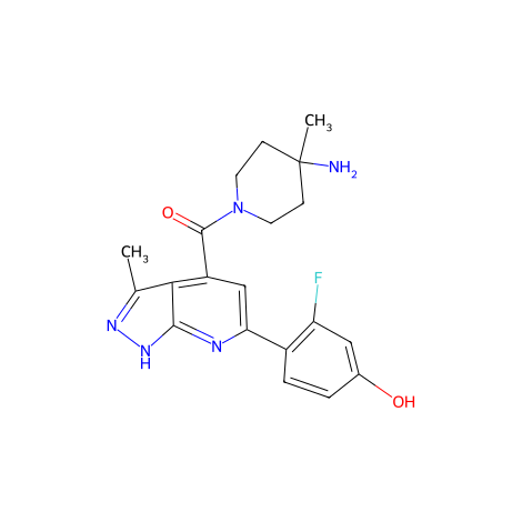 Cc1n[nH]c2nc(-c3ccc(O)cc3F)cc(C(=O)N3CCC(C)(N)CC3)c12